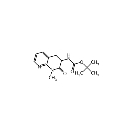 CN1C(=O)C(NC(=O)OC(C)(C)C)Cc2cccnc21